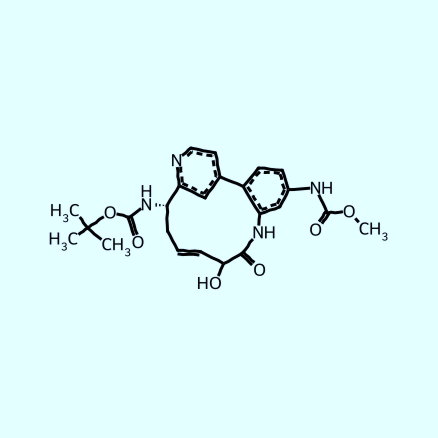 COC(=O)Nc1ccc2c(c1)NC(=O)C(O)/C=C/C[C@H](NC(=O)OC(C)(C)C)c1cc-2ccn1